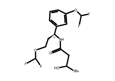 CC(C)(C)C(O)CC(=O)N[C@@H](CCOC(F)F)c1cccc(OC(F)F)c1